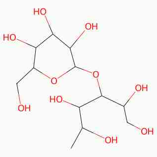 CC(O)C(O)C(OC1OC(CO)C(O)C(O)C1O)C(O)CO